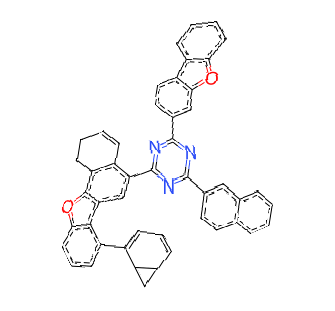 C1=CC2CC2C(c2cccc3oc4c5c(c(-c6nc(-c7ccc8ccccc8c7)nc(-c7ccc8c(c7)oc7ccccc78)n6)cc4c23)C=CCC5)=C1